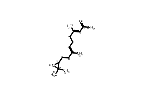 CC(=CC(N)=O)CCC=C(C)CCC1OC1(C)C